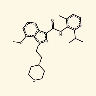 COc1cccc2c(C(=O)Nc3c(C)cccc3C(C)C)nn(CCN3CCOCC3)c12